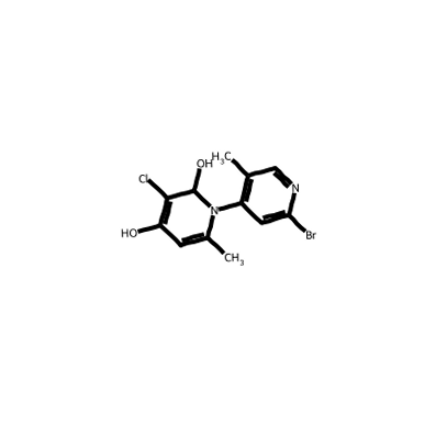 CC1=CC(O)=C(Cl)C(O)N1c1cc(Br)ncc1C